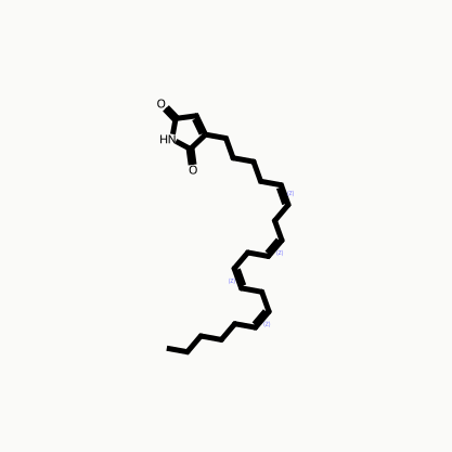 CCCCC/C=C\C/C=C\C/C=C\C/C=C\CCCCC1=CC(=O)NC1=O